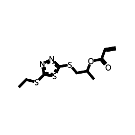 C=CC(=O)OC(C)CSc1nnc(SCC)s1